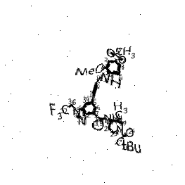 COc1cc(S(C)(=O)=O)ccc1NCC#Cc1cc(C(=O)N[C@H]2CCN(C(=O)OC(C)(C)C)C[C@H]2C)c2ncn(CC(F)(F)F)c2c1